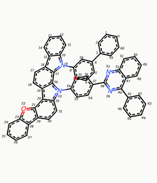 c1ccc(-c2cccc(-n3c4ccccc4c4ccc5c6c7oc8ccccc8c7ccc6n(-c6ccc(-c7nc(-c8ccccc8)c8ccccc8n7)cc6)c5c43)c2)cc1